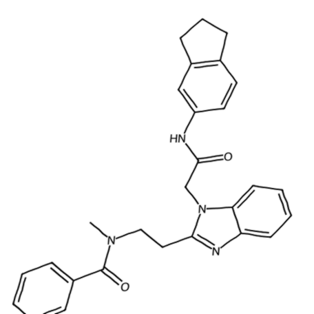 CN(CCc1nc2ccccc2n1CC(=O)Nc1ccc2c(c1)CCC2)C(=O)c1ccccc1